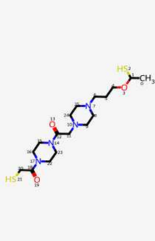 CC(S)OCCCN1CCN(CC(=O)N2CCN(C(=O)CS)CC2)CC1